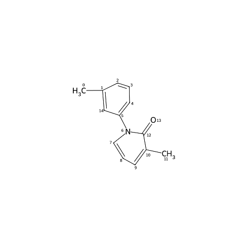 Cc1cccc(-n2cccc(C)c2=O)c1